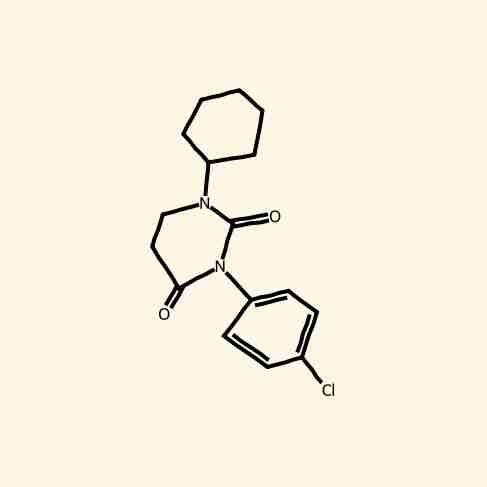 O=C1CCN(C2CCCCC2)C(=O)N1c1ccc(Cl)cc1